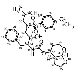 COc1ccc(S(=O)(=O)N(CC(C)C)C[C@H](O)[C@H](Cc2ccccc2)NC(=O)O[C@H]2CCO[C@H]3OCC[C@H]32)cc1